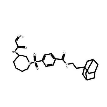 C=CC(=O)NC1CCCCN(S(=O)(=O)c2ccc(C(=O)NCCC34CC5CC(CC(C5)C3)C4)cc2)C1